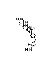 CC1CNCCN1C(=O)Nc1ccn(-c2ccc(CN3CC4C(N)[C@@H]4C3)cc2)c(=O)n1